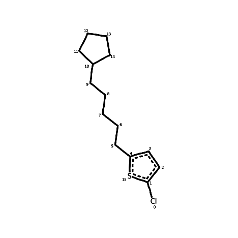 Clc1ccc(CCCCCC2CCCC2)s1